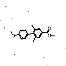 COC(=O)c1cc(C)c(-c2ccc(OC)nc2)c(C)c1